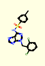 Cc1ccc(S(=O)(=O)Nc2ncn(Cc3c(Cl)cccc3Cl)c3ncnc2-3)cc1